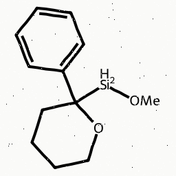 CO[SiH2]C1(c2ccccc2)CCCCO1